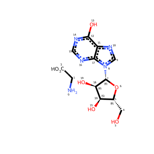 NCC(=O)O.OC[C@H]1O[C@@H](n2cnc3c(O)ncnc32)[C@H](O)[C@@H]1O